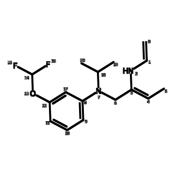 C=CN/C(=C\C)CN(c1cccc(OC(F)F)c1)C(C)C